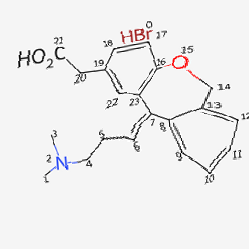 Br.CN(C)CC/C=C1/c2ccccc2COc2ccc(CC(=O)O)cc21